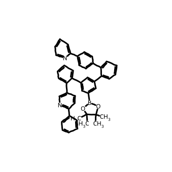 CC1(C)OB(c2cc(-c3ccccc3-c3ccc(-c4ccccn4)cc3)cc(-c3ccccc3-c3ccc(-c4ccccc4)nc3)c2)OC1(C)C